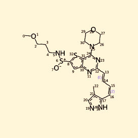 COCCCN[S+]([O-])c1cc2nc(/C=C/C=C\c3[nH]ncc3C)nc(N3CCOCC3)c2s1